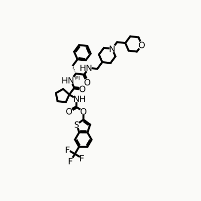 O=C(NC1(C(=O)N[C@H](Cc2ccccc2)C(=O)NCC2CCN(CC3CCOCC3)CC2)CCCC1)Oc1cc2ccc(C(F)(F)F)cc2s1